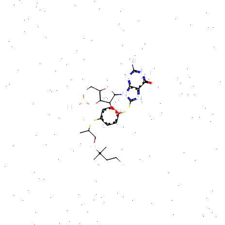 CC(COC(C)(C)CCBr)Sc1ccc(Sc2nc3c(=O)[nH]c(N)nc3n2C2OC3COP(O)OC3C2O)cc1